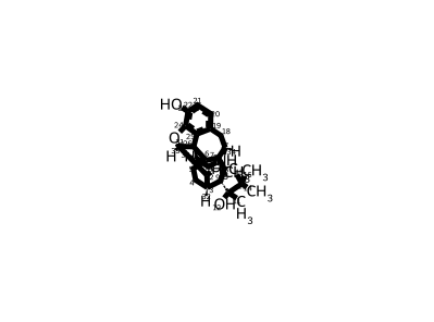 COC1[C@@H]2CC[C@H]3C(C[C@@H]2C(C)(O)C(C)(C)C)[C@H]2Cc4ccc(O)c5c4[C@@]3(CCN2)[C@H]1O5